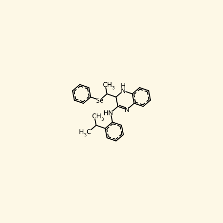 CC(C)c1ccccc1NC1=Nc2ccccc2NC1C(C)[Se]c1ccccc1